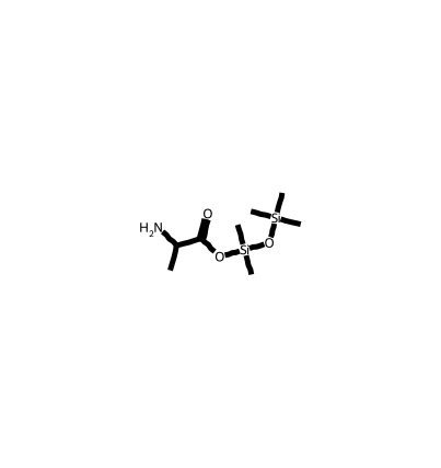 CC(N)C(=O)O[Si](C)(C)O[Si](C)(C)C